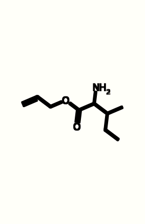 C=CCOC(=O)C(N)C(C)CC